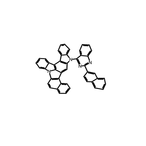 c1ccc2cc(-c3nc(-n4c5ccccc5c5c6c7ccccc7n7c8ccc9ccccc9c8c(cc54)c67)c4ccccc4n3)ccc2c1